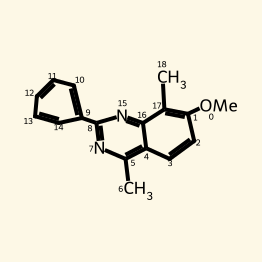 COc1ccc2c(C)nc(-c3ccccc3)nc2c1C